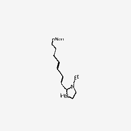 CCCCCCCCCCCCCCCCC1NCCN1CC